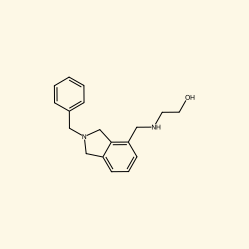 OCCNCc1cccc2c1CN(Cc1ccccc1)C2